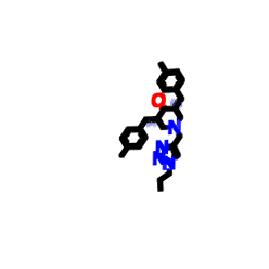 CCCn1cc(CN2C/C(=C/c3ccc(C)cc3)C(=O)/C(=C/c3ccc(C)cc3)C2)nn1